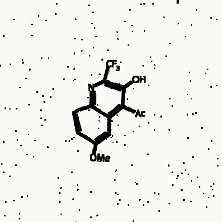 COc1ccc2nc(C(F)(F)F)c(O)c(C(C)=O)c2c1